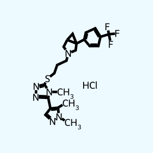 Cc1c(-c2nnc(SCCCN3CC4CC4(c4ccc(C(F)(F)F)cc4)C3)n2C)cnn1C.Cl